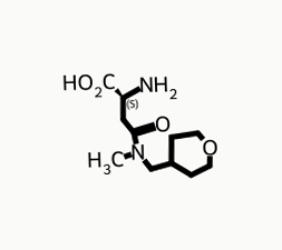 CN(CC1CCOCC1)C(=O)C[C@H](N)C(=O)O